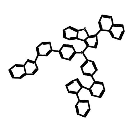 c1ccc(-c2ccccc2-c2ccccc2-c2ccc(N(c3ccc(-c4cccc(-c5ccc6ccccc6c5)c4)cc3)c3ccc(-c4cccc5ccccc45)c4sc5ccccc5c34)cc2)cc1